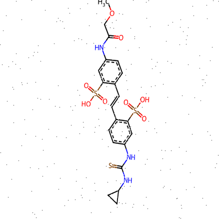 COCC(=O)Nc1ccc(C=Cc2ccc(NC(=S)NC3CC3)cc2S(=O)(=O)O)c(S(=O)(=O)O)c1